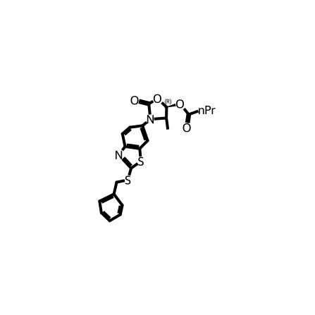 CCCC(=O)O[C@@H]1OC(=O)N(c2ccc3nc(SCc4ccccc4)sc3c2)C1C